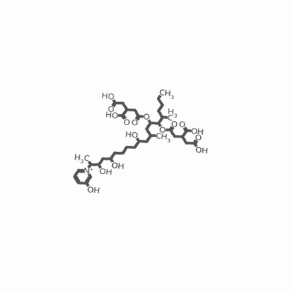 CCCCC(C)C(OC(=O)CC(CC(=O)O)C(=O)O)C(CC(C)CC(O)CCCCC(O)CC(O)C(C)[n+]1cccc(O)c1)OC(=O)CC(CC(=O)O)C(=O)O